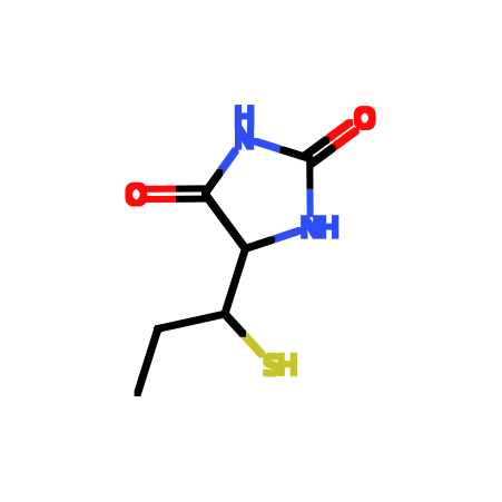 CCC(S)C1NC(=O)NC1=O